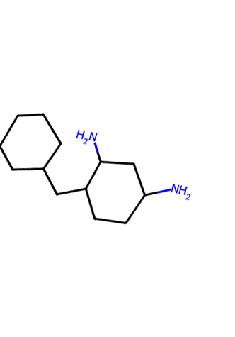 NC1CCC(CC2CCCCC2)C(N)C1